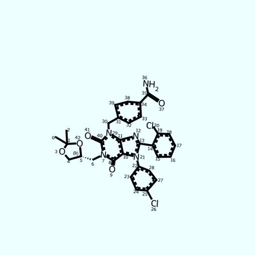 CC1(C)OC[C@@H](Cn2c(=O)c3c(nc(-c4ccccc4Cl)n3-c3ccc(Cl)cc3)n(Cc3ccc(C(N)=O)cc3)c2=O)O1